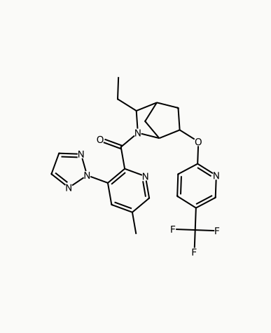 CCC1C2CC(Oc3ccc(C(F)(F)F)cn3)C(C2)N1C(=O)c1ncc(C)cc1-n1nccn1